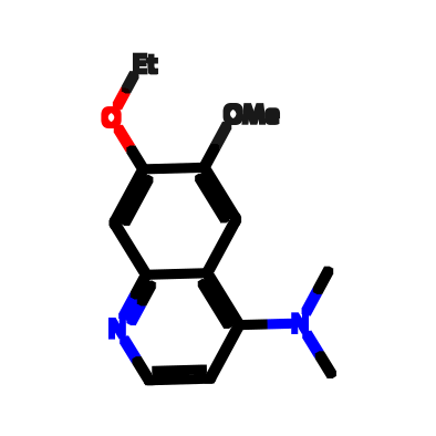 CCOc1cc2nccc(N(C)C)c2cc1OC